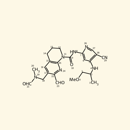 COCC(C)Nc1cc(NC(=O)N2CCCc3cc(CN(C)C=O)c(C=O)nc32)ncc1C#N